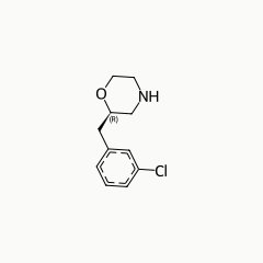 Clc1cccc(C[C@@H]2CNCCO2)c1